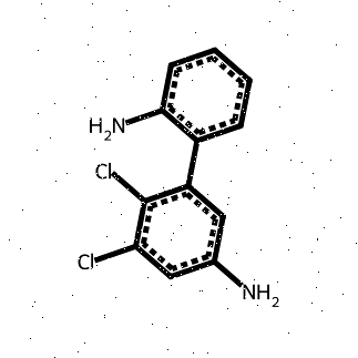 Nc1cc(Cl)c(Cl)c(-c2ccccc2N)c1